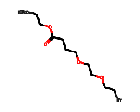 CCCCCCCCCCCCOC(=O)CCCOCCOCCC(C)C